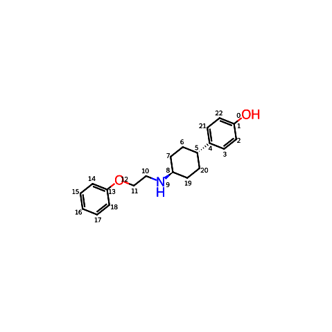 Oc1ccc([C@H]2CC[C@H](NCCOc3ccccc3)CC2)cc1